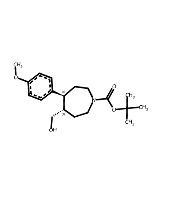 COc1ccc([C@H]2CCN(C(=O)OC(C)(C)C)CC[C@@H]2CO)cc1